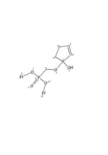 CCOP(=O)(COC1(O)C=CCC1)OCC